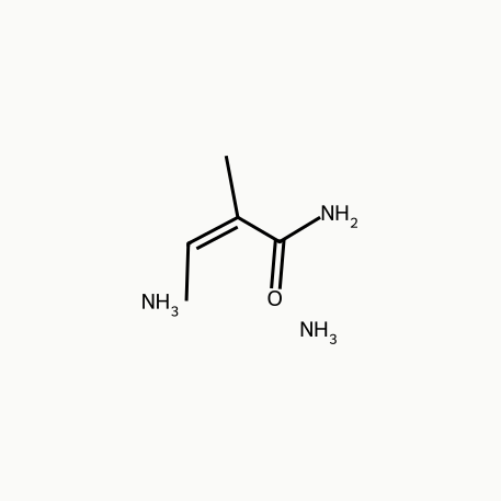 CC=C(C)C(N)=O.N.N